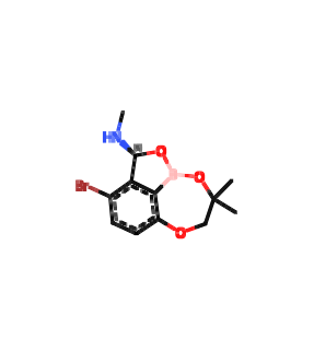 CN[C@H]1OB2OC(C)(C)COc3ccc(Br)c1c32